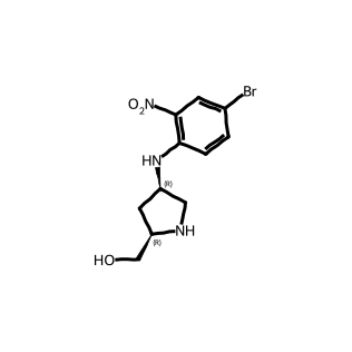 O=[N+]([O-])c1cc(Br)ccc1N[C@H]1CN[C@@H](CO)C1